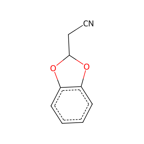 N#CCC1Oc2ccccc2O1